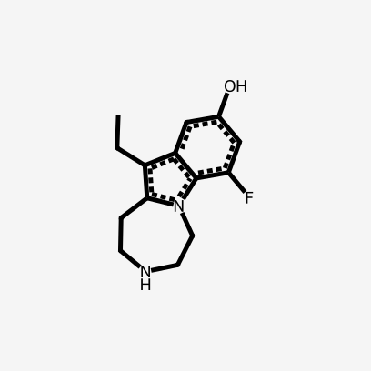 CCc1c2n(c3c(F)cc(O)cc13)CCNCC2